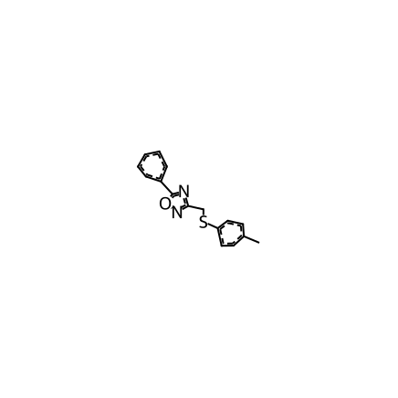 Cc1ccc(SCc2noc(-c3ccccc3)n2)cc1